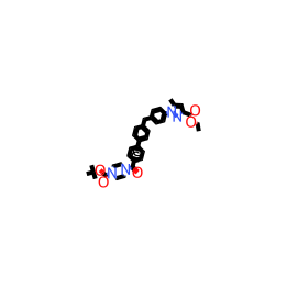 CCOC(=O)c1cc(C)n(-c2ccc(Cc3ccc(C45CCC(C(=O)N6CCN(C(=O)OC(C)(C)C)CC6)(CC4)CC5)cc3)cc2)n1